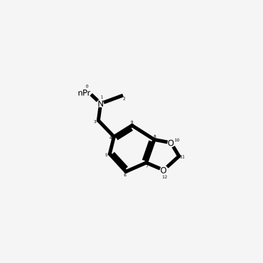 C[CH]CN(C)Cc1ccc2c(c1)OCO2